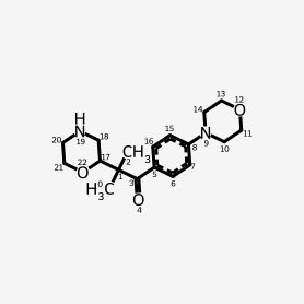 CC(C)(C(=O)c1ccc(N2CCOCC2)cc1)C1CNCCO1